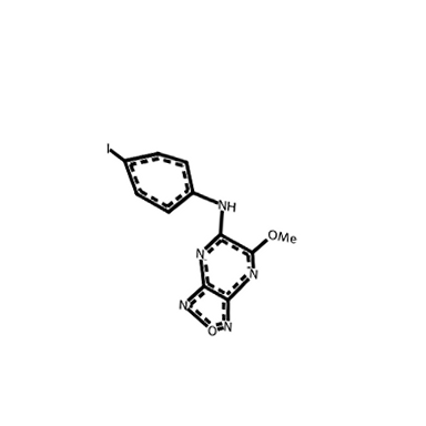 COc1nc2nonc2nc1Nc1ccc(I)cc1